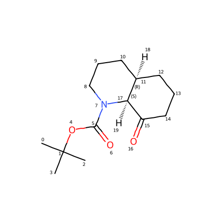 CC(C)(C)OC(=O)N1CCC[C@H]2CCCC(=O)[C@H]21